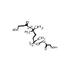 CCCCCCCCCCCC(=O)OOC(C)(C)CCC(C)(C)OOC(=O)CCCCCCCCCCC